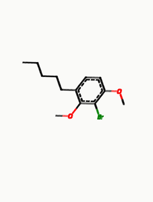 CCCCCc1ccc(OC)c(Br)c1OC